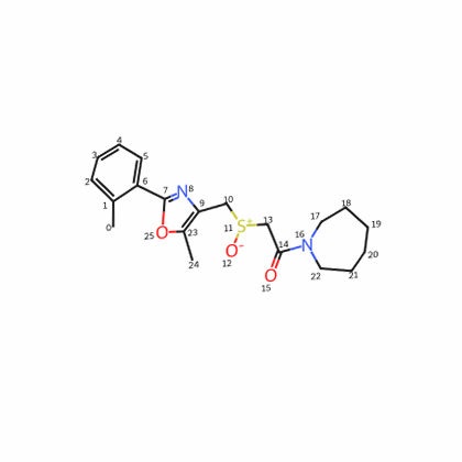 Cc1ccccc1-c1nc(C[S+]([O-])CC(=O)N2CCCCCC2)c(C)o1